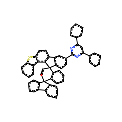 c1ccc(-c2cc(-c3ccccc3)nc(-c3ccc4c(c3)-c3ccc5sc6ccccc6c5c3C43c4ccccc4C4(c5ccccc5-c5ccccc54)c4ccccc43)n2)cc1